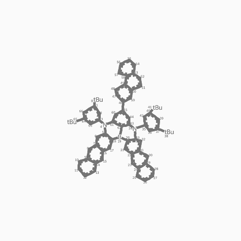 CC(C)(C)c1cc(N2c3cc4cc5ccccc5cc4cc3B3c4cc5cc6ccccc6cc5cc4N(c4cc(C(C)(C)C)cc(C(C)(C)C)c4)c4cc(-c5ccc6c(ccc7ccccc76)c5)cc2c43)cc(C(C)(C)C)c1